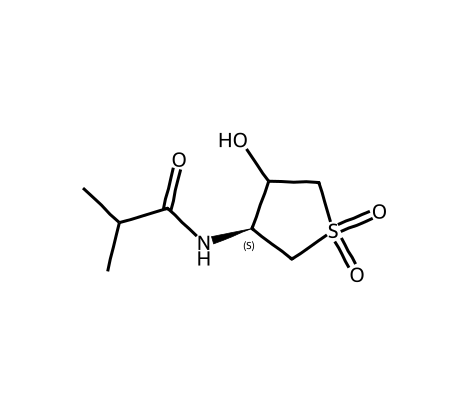 CC(C)C(=O)N[C@@H]1CS(=O)(=O)CC1O